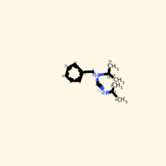 CC(C)/N=C\N(Cc1ccccc1)C(C)C